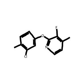 Cc1ccc(Oc2nccc(C)c2F)cc1Cl